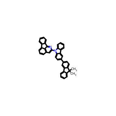 CC1(C)c2ccccc2-c2cc(-c3ccc4c(c3)c3ccccc3n4-c3cc4cccc5c4c(n3)-c3ccccc3-5)ccc21